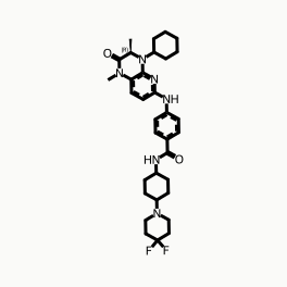 C[C@@H]1C(=O)N(C)c2ccc(Nc3ccc(C(=O)NC4CCC(N5CCC(F)(F)CC5)CC4)cc3)nc2N1C1CCCCC1